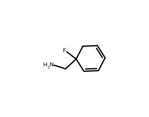 NCC1(F)[CH]C=CC=C1